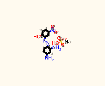 Nc1ccc(/N=N/c2cc([N+](=O)[O-])ccc2O)c(N)c1.O=S(=O)([O-])O.[Na+]